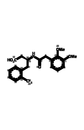 COc1cccc(CC(=O)N[C@H](CC(=O)O)Cc2ccccc2C(F)(F)F)c1OC